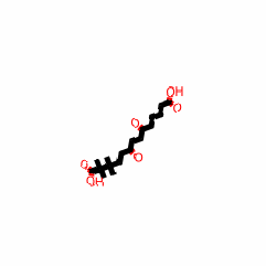 CC(C)(CCC(=O)CCC(=O)CCCCC(=O)O)C(C)(C)C(=O)O